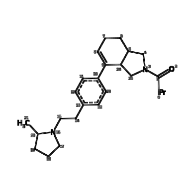 CC(C)C(=O)N1CC2CCC=C(c3ccc(CCN4CCCC4C)cc3)C2C1